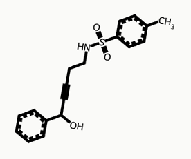 Cc1ccc(S(=O)(=O)NCCC#CC(O)c2ccccc2)cc1